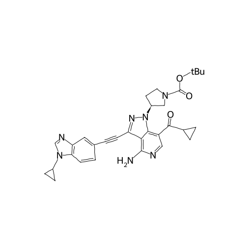 CC(C)(C)OC(=O)N1CC[C@H](n2nc(C#Cc3ccc4c(c3)ncn4C3CC3)c3c(N)ncc(C(=O)C4CC4)c32)C1